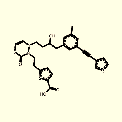 Cc1cc(C#Cc2ccsc2)cc(CC(O)CCN2C=CSC(=O)N2CCc2ccc(C(=O)O)s2)c1